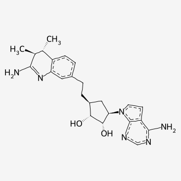 C[C@@H]1C(N)=Nc2cc(CC[C@H]3C[C@@H](n4ccc5c(N)ncnc54)[C@H](O)[C@@H]3O)ccc2[C@H]1C